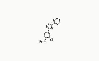 CC(C)Oc1ccc(-c2noc(-c3ccccn3)n2)cc1Cl